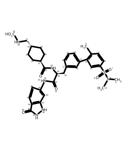 Cc1ccc(S(=O)(=O)N(C)C)cc1-c1cccc(C[C@H](NC(=O)[C@H]2CC[C@H](CNC(=O)O)CC2)C(=O)Nc2ccc3c(=O)[nH][nH]c3c2)c1